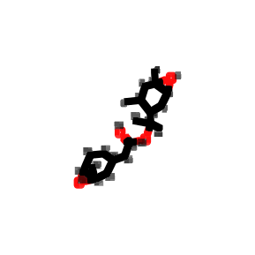 CC1CC2(C)OC2CC1C(C)(C)OC(=O)CC1CCC2OC2(C)C1